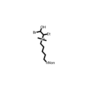 CCCCCCCCCCCCCC[N+](C)(C)C(CC)C(O)Br